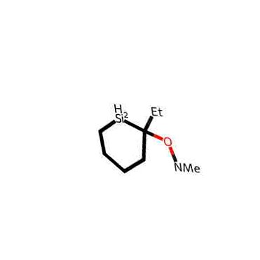 CCC1(ONC)CCCC[SiH2]1